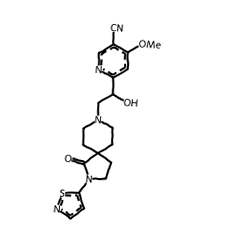 COc1cc(C(O)CN2CCC3(CC2)CCN(c2ccns2)C3=O)ncc1C#N